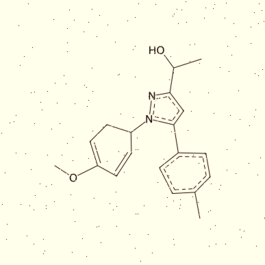 COC1=CCC(n2nc(C(C)O)cc2-c2ccc(C)cc2)C=C1